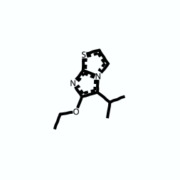 CCOc1nc2sccn2c1C(C)C